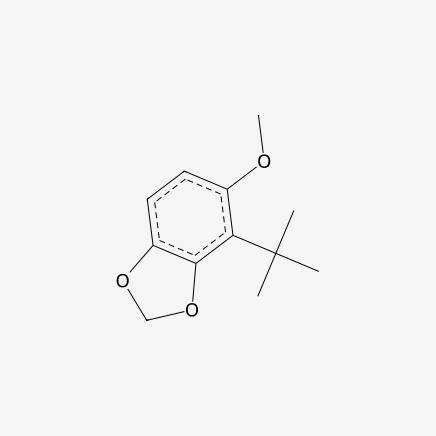 COc1ccc2c(c1C(C)(C)C)OCO2